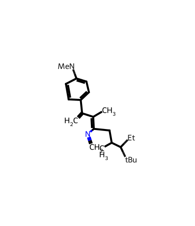 C=N/C(CC(C)C(CC)C(C)(C)C)=C(/C)C(=C)c1ccc(NC)cc1